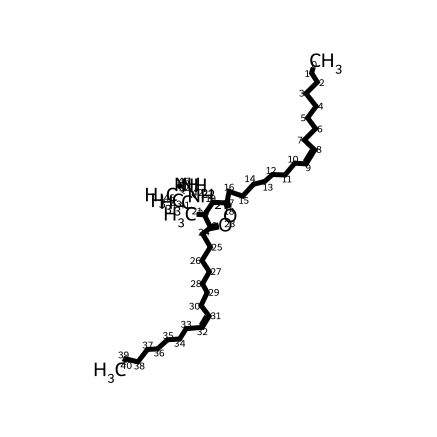 CCCCCCCC/C=C\CCCCCCCC(=O)CC(C)C(=O)CCCCCCC/C=C\CCCCCCCC.CN.CN.CN